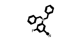 N#Cc1cc(F)cc(N(Cc2ccccc2)Cc2ccccc2)c1